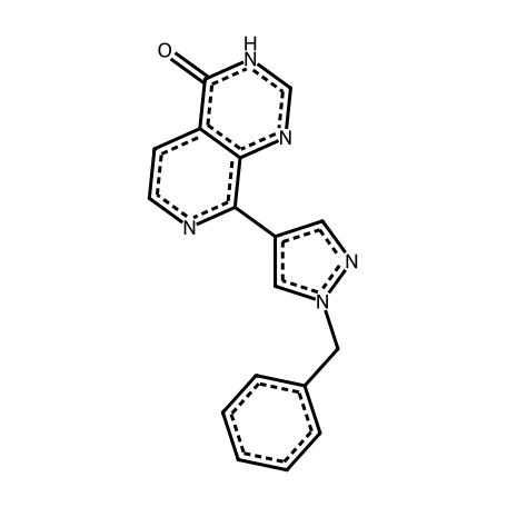 O=c1[nH]cnc2c(-c3cnn(Cc4ccccc4)c3)nccc12